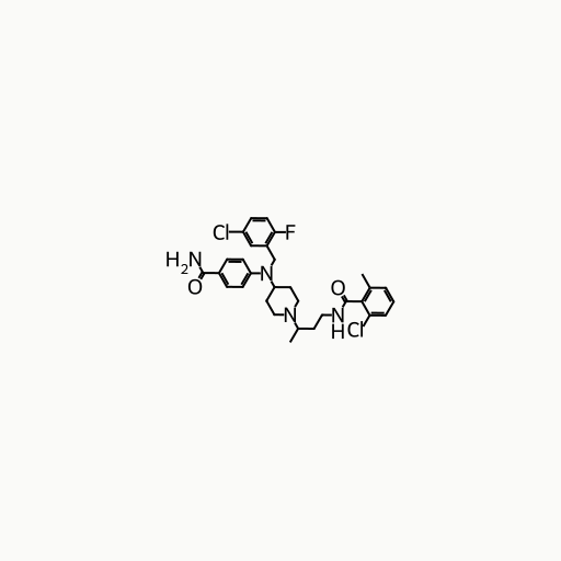 Cc1cccc(Cl)c1C(=O)NCCC(C)N1CCC(N(Cc2cc(Cl)ccc2F)c2ccc(C(N)=O)cc2)CC1